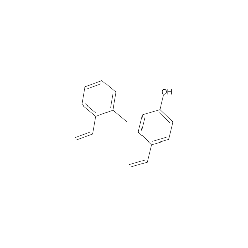 C=Cc1ccc(O)cc1.C=Cc1ccccc1C